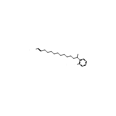 CCCC=CCCCCCCCCCCC(C)c1ccccc1C(=O)O